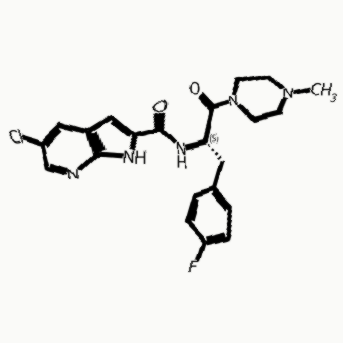 CN1CCN(C(=O)[C@H](Cc2ccc(F)cc2)NC(=O)c2cc3cc(Cl)cnc3[nH]2)CC1